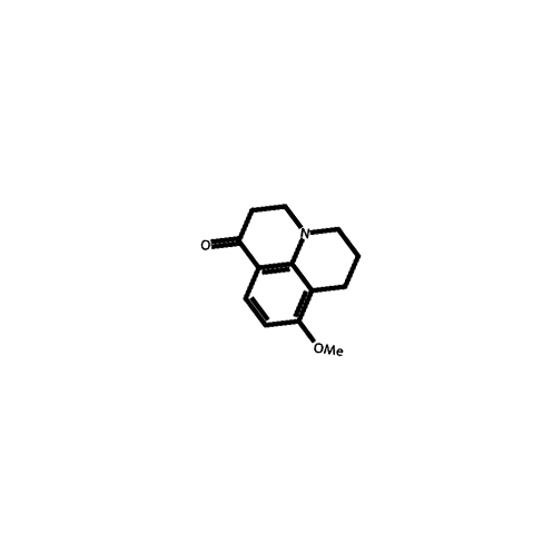 COc1ccc2c3c1CCCN3CCC2=O